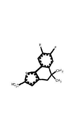 CC1(C)Cc2cc(C(=O)O)sc2-c2cc(F)c(F)cc21